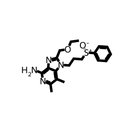 CCOCc1nc2c(N)nc(C)c(C)c2n1CCC[S+]([O-])c1ccccc1